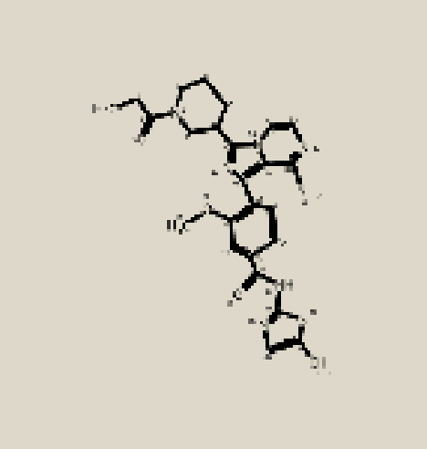 CCC(=O)N1CCCC(c2nc(-c3ccc(C(=O)Nc4ncc(C)s4)cc3OC)c3c(N)nccn23)C1